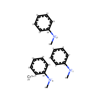 C[N-]c1ccccc1.C[N-]c1ccccc1.C[N-]c1ccccc1.[Cr+3]